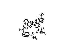 CCNC(=O)C(=O)CC[C@H](NC(=O)c1nc(C2(C)CC2)no1)C(=O)Nc1cccn(CC(=O)NC2C3CC4CC2CC(C(N)=O)(C4)C3)c1=O